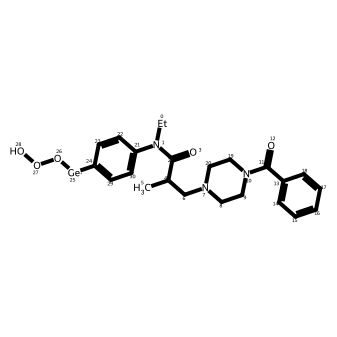 CCN(C(=O)C(C)CN1CCN(C(=O)c2ccccc2)CC1)c1cc[c]([Ge][O]OO)cc1